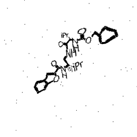 CC(C)[C@H](NC(=O)OCc1ccccc1)C(=O)NC[C@@H](NC(=O)c1cc2ccccc2o1)C(C)C